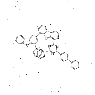 c1ccc(-c2ccc(-c3nc(-c4ccccc4)nc(-c4cccc5c4oc4c(-c6cc(-c7ccccc7)c7sc8ccccc8c7c6)cccc45)n3)cc2)cc1